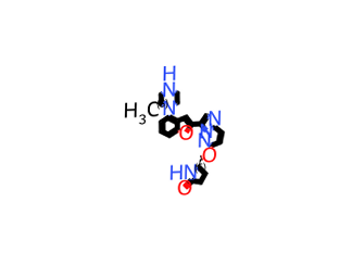 C[C@H]1CNCCN1c1cccc2oc(-c3cnc4ccc(OC[C@@H]5CCC(=O)N5)nn34)cc12